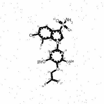 COc1nc(-n2cc(S(N)(=O)=O)c3ccc(Cl)c(F)c32)nc(OC)c1OCC(F)F